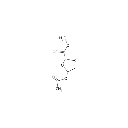 COC(=O)[C@H]1O[C@@H](OC(C)=O)CS1